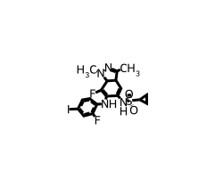 CC1=NN(C)C2C(F)=C(Nc3ccc(I)cc3F)C(NS(=O)(=O)C3CC3)=CC12